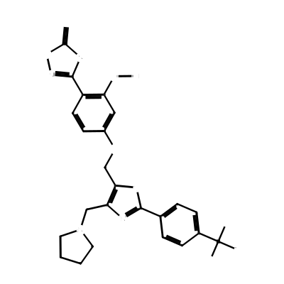 COc1cc(OCc2sc(-c3ccc(C(F)(F)F)cc3)nc2CN2CCCC2)ccc1-c1noc(=O)[nH]1